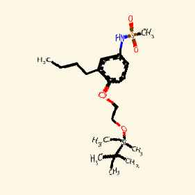 CCCCc1cc(NS(C)(=O)=O)ccc1OCCO[Si](C)(C)C(C)(C)C